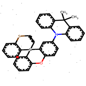 CC1(C)c2ccccc2N(c2ccc3c(c2)[Si]2(c4ccccc4O3)c3ccccc3Sc3ccccc32)c2ccccc21